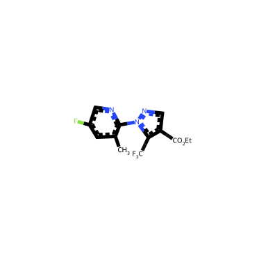 CCOC(=O)c1cnn(-c2ncc(F)cc2C)c1C(F)(F)F